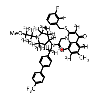 [2H]c1c(C)c([2H])c2c(=O)c([2H])c(SCc3cccc(F)c3F)n(CC(=O)N(C([2H])([2H])c3ccc(-c4ccc(C(F)(F)F)cc4)cc3)C3([2H])C([2H])([2H])C([2H])([2H])N(C([2H])([2H])C([2H])([2H])OC)C([2H])([2H])C3([2H])[2H])c2c1[2H]